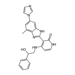 Cc1cc(-n2ccnc2)cc2[nH]c(-c3c(NCC(O)c4ccccc4)cc[nH]c3=O)nc12